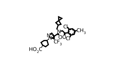 Cc1cc(Cl)c(C(=O)CN(CC2CC3(CC3)C2)C(=O)c2cnn([C@H]3CC[C@@H](C(=O)O)CC3)c2C(F)(F)F)c(Cl)c1